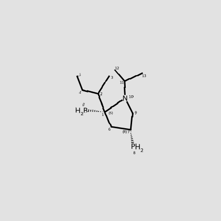 B[C@@]1(C(C)CC)C[C@@H](P)CN1C(C)C